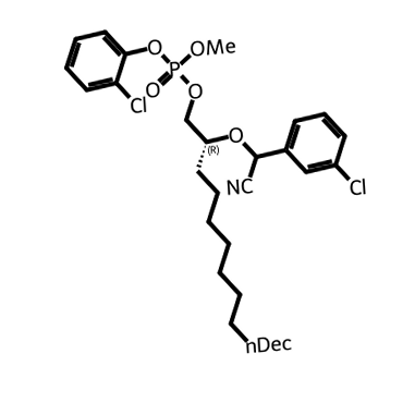 CCCCCCCCCCCCCCCCC[C@H](COP(=O)(OC)Oc1ccccc1Cl)OC(C#N)c1cccc(Cl)c1